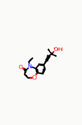 CCN1C(=O)CCOc2ccc(C#CC(C)(C)O)cc21